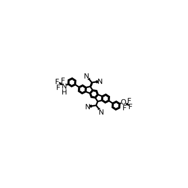 N#CC(C#N)=C1c2cc(-c3cccc(NC(F)(F)F)c3)ccc2-c2cc3c(cc21)-c1ccc(-c2cccc(OC(F)(F)F)c2)cc1C3C(C#N)C#N